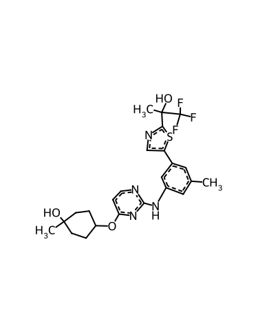 Cc1cc(Nc2nccc(OC3CCC(C)(O)CC3)n2)cc(-c2cnc(C(C)(O)C(F)(F)F)s2)c1